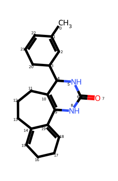 CC1=CC(C2NC(=O)NC3=C2CCCC2=CCCC=C23)CC=C1